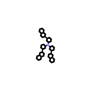 c1cc(-c2ccc3ccccc3c2)cc(N(c2cccc(-c3ccc4ccccc4c3)c2)c2cccc(-c3ccc4ccccc4c3)c2)c1